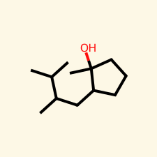 CC(C)C(C)CC1CCCC1(C)O